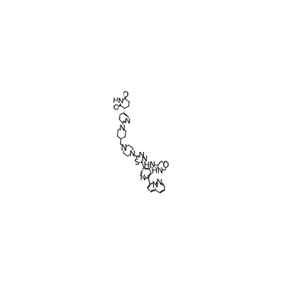 O=C1CC[C@H](c2ccc(N3CCC(CN4CCN(c5nnc(-c6cnc(-c7ccc8cccnn78)cc6NC6COCN6)s5)CC4)CC3)nc2)C(=O)N1